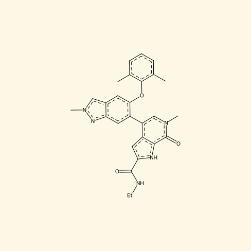 CCNC(=O)c1cc2c(-c3cc4nn(C)cc4cc3Oc3c(C)cccc3C)cn(C)c(=O)c2[nH]1